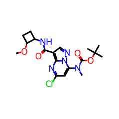 CO[C@H]1CCC1NC(=O)c1cnn2c(N(C)C(=O)OC(C)(C)C)cc(Cl)nc12